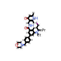 CCCC(CCI)N(CC)c1cc(-c2ccc(CN3CCOCC3)cc2)cc(C(=O)NCc2c(C)[nH]c(C)cc2=O)c1C